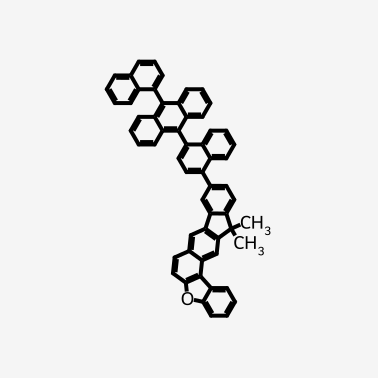 CC1(C)c2ccc(-c3ccc(-c4c5ccccc5c(-c5cccc6ccccc56)c5ccccc45)c4ccccc34)cc2-c2cc3ccc4oc5ccccc5c4c3cc21